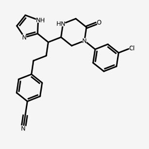 N#Cc1ccc(CCC(c2ncc[nH]2)C2CN(c3cccc(Cl)c3)C(=O)CN2)cc1